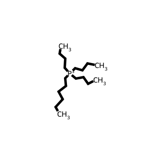 CCCCCC[P+](CCCC)(CCCC)CCCC